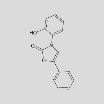 O=c1oc(-c2ccccc2)cn1-c1ccccc1O